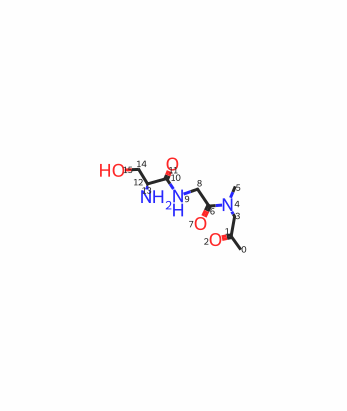 CC(=O)CN(C)C(=O)CNC(=O)[C@@H](N)CO